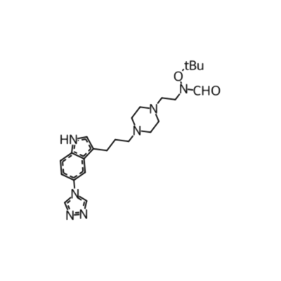 CC(C)(C)ON(C=O)CCN1CCN(CCCc2c[nH]c3ccc(-n4cnnc4)cc23)CC1